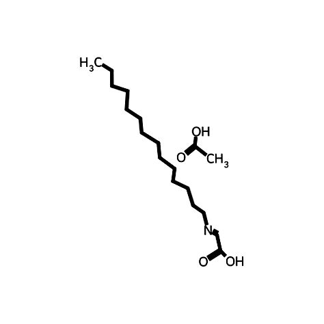 CC(=O)O.CCCCCCCCCCCCCCN=CC(=O)O